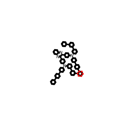 c1ccc(-c2ccc(-c3ccc(N(c4ccc(-c5nc6ccccc6nc5-c5ccc(N(c6ccc(-c7ccc(-c8ccccc8)cc7)cc6)c6cccc(-c7cccc(-c8ccccc8)c7)c6)cc5)cc4)c4cccc(-c5cccc(-c6ccccc6)c5)c4)cc3)cc2)cc1